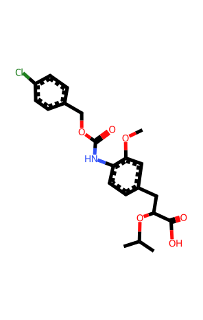 COc1cc(CC(OC(C)C)C(=O)O)ccc1NC(=O)OCc1ccc(Cl)cc1